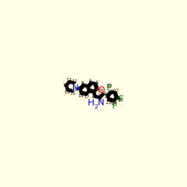 N[C@H]1Cc2c(ccc3cc(N4CCCCC4)ccc23)O[C@@H]1c1cc(F)c(F)cc1F